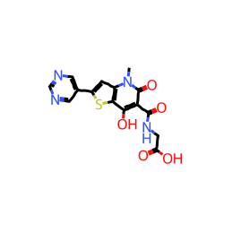 Cn1c(=O)c(C(=O)NCC(=O)O)c(O)c2sc(-c3cncnc3)cc21